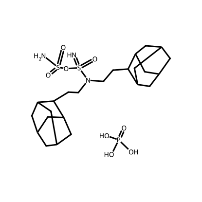 N=S(=O)(OS(N)(=O)=O)N(CCC1C2CC3CC(C2)CC1C3)CCC1C2CC3CC(C2)CC1C3.O=P(O)(O)O